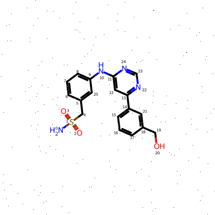 NS(=O)(=O)Cc1cccc(Nc2cc(-c3cccc(CO)c3)ncn2)c1